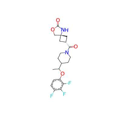 CC(Oc1ccc(F)c(F)c1F)C1CCN(C(=O)[C@H]2C[C@]3(COC(=O)N3)C2)CC1